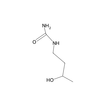 CC(O)CCNC(N)=O